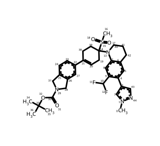 Cn1cc(-c2cc3c(cc2C(F)F)N(C2(S(C)(=O)=O)CC=C(c4ccc5c(c4)CN(C(=O)OC(C)(C)C)C5)CC2)CCC3)cn1